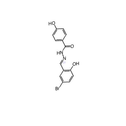 O=C(N/N=C/c1cc(Br)ccc1O)c1ccc(O)cc1